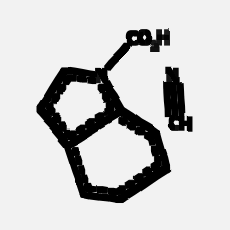 C#N.O=C(O)n1ccc2ccccc21